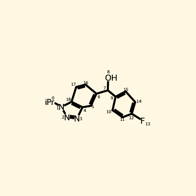 CC(C)n1nnc2cc(C(O)c3ccc(F)cc3)ccc21